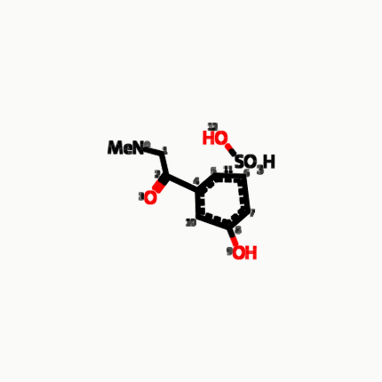 CNCC(=O)c1cccc(O)c1.O=S(=O)(O)O